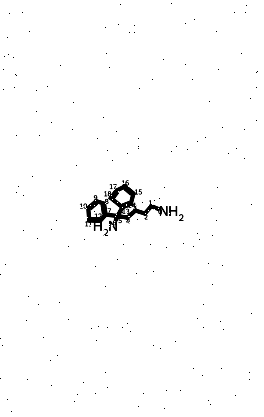 NCCCCC(N)(c1ccccc1)c1ccccc1